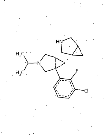 C1NCC2CC12.CC(C)N1CC2CC2(c2cccc(Cl)c2F)C1